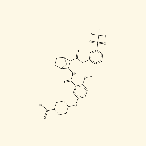 COc1ccc(OC2CCC(C(=O)O)CC2)cc1C(=O)NC1C2CCC(C2)C1C(=O)Nc1cccc(S(=O)(=O)C(F)(F)F)c1